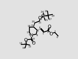 CCOC(=O)C=C[C@@H]1CN(C(=O)OC(C)(C)C)CC[C@H]1CCO[Si](C)(C)C(C)(C)C